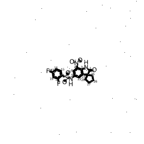 O=C1Nc2c([N+](=O)[O-])cc(NS(=O)(=O)c3ccc(F)cc3F)cc2C12CCCC2